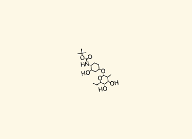 CC[C@H]1O[C@H](OC2CC[C@@H](NC(=O)OC(C)(C)C)[C@H](O)C2)C(C)[C@@H](O)[C@@H]1O